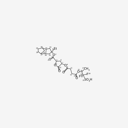 CCC1(OC(=O)C2CC(OC(=O)CCC(=O)OC(C)C(F)(F)S(=O)(=O)O)C(=O)O2)CC2C3CCC(C3)C2C1